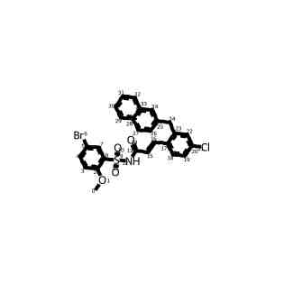 COc1ccc(Br)cc1S(=O)(=O)NC(=O)C=Cc1ccc(Cl)cc1Cc1ccc2ccccc2c1